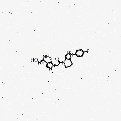 N/C(=N\O)c1cnn(CC(=O)N2CCCc3c2cnn3-c2ccc(F)cc2)c1